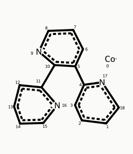 [Co].c1ccc(-c2cccnc2-c2ccccn2)nc1